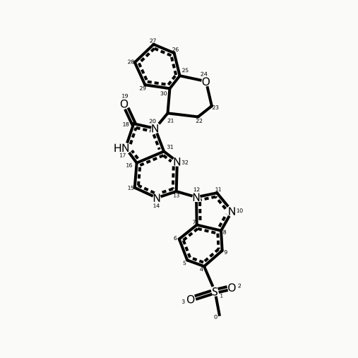 CS(=O)(=O)c1ccc2c(c1)ncn2-c1ncc2[nH]c(=O)n(C3CCOc4ccccc43)c2n1